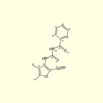 Cc1oc(C#N)c(NC(=S)NC(=O)c2ccccc2)c1C